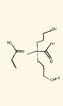 CC(SCCO)(SCCO)C(=O)O.CCC(=O)O